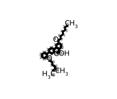 CCCCCCCCC(=O)c1ccc(C(=O)O)c(-c2ccc(-c3ccccc3OCCCCC(C)CC)cc2)c1